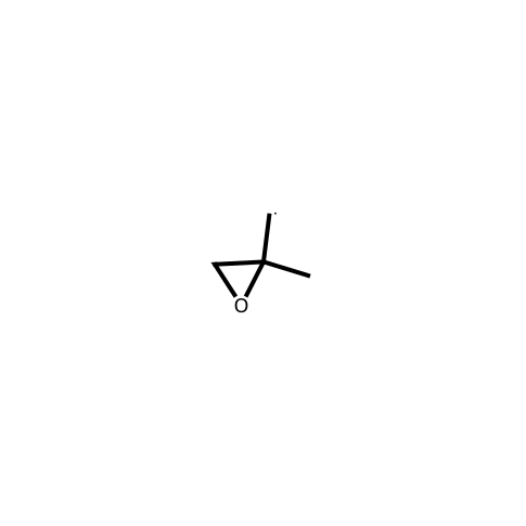 [CH2]C1(C)CO1